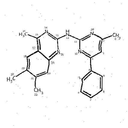 Cc1cc(-c2ccccc2)nc(Nc2nc(C)c3cc(C)c(C)cc3n2)n1